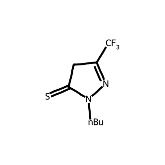 CCCCN1N=C(C(F)(F)F)CC1=S